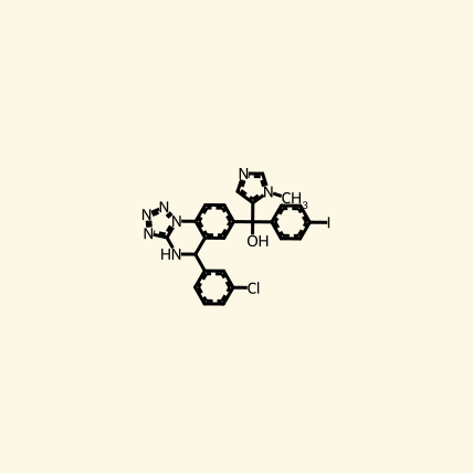 Cn1cncc1C(O)(c1ccc(I)cc1)c1ccc2c(c1)C(c1cccc(Cl)c1)Nc1nnnn1-2